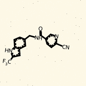 N#Cc1ccc(C(=O)NCc2ccc3[nH]c(C(F)(F)F)cc3c2)cn1